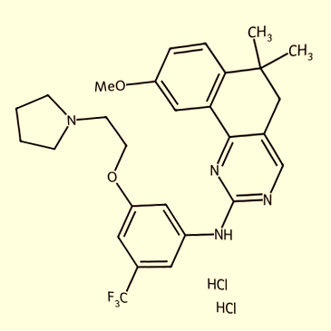 COc1ccc2c(c1)-c1nc(Nc3cc(OCCN4CCCC4)cc(C(F)(F)F)c3)ncc1CC2(C)C.Cl.Cl